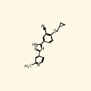 Cc1cc(-c2n[nH]c(-c3ccc(OCC4CC4)c(C#N)c3)n2)ccn1